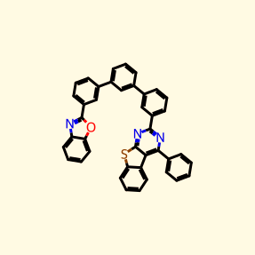 c1ccc(-c2nc(-c3cccc(-c4cccc(-c5cccc(-c6nc7ccccc7o6)c5)c4)c3)nc3sc4ccccc4c23)cc1